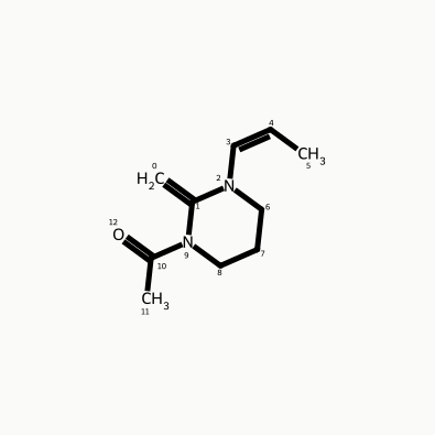 C=C1N(/C=C\C)CCCN1C(C)=O